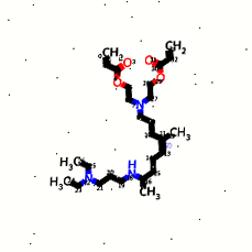 C=CC(=O)OCCN(CCC/C(C)=C\CCC(C)NCCCN(CC)CC)CCOC(=O)C=C